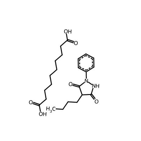 CCCCC1C(=O)NN(c2ccccc2)C1=O.O=C(O)CCCCCCCCC(=O)O